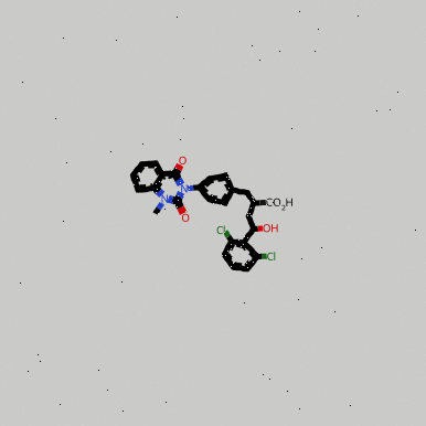 Cn1c(=O)n(-c2ccc(CC(CC(O)c3c(Cl)cccc3Cl)C(=O)O)cc2)c(=O)c2ccccc21